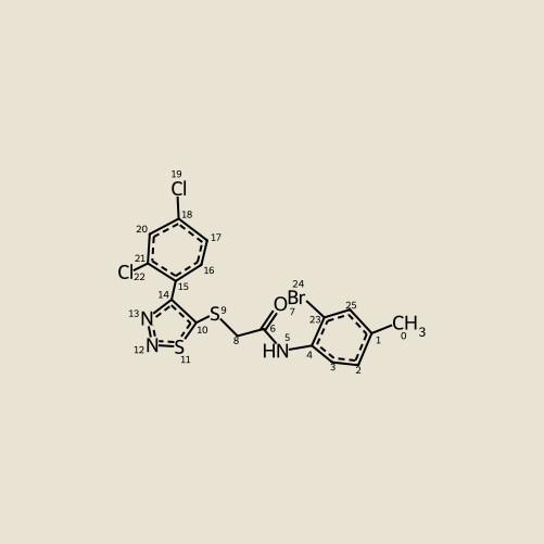 Cc1ccc(NC(=O)CSc2snnc2-c2ccc(Cl)cc2Cl)c(Br)c1